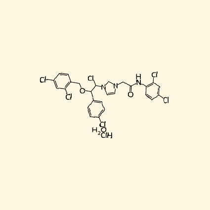 Cl.O.O=C(CN1C=CN(C(Cl)C(OCc2ccc(Cl)cc2Cl)c2ccc(Cl)cc2)C1)Nc1ccc(Cl)cc1Cl